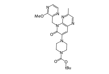 COc1nccnc1Cn1c(=O)c(N2CCN(C(=O)OC(C)(C)C)CC2)cc2ncc(C)nc21